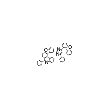 c1ccc(-c2cc(-c3cccc4oc5ccccc5c34)nc(-c3ccc4oc5ccc6c(-c7ccccc7)nc7ccccc7c6c5c4c3)n2)cc1